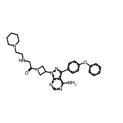 Nc1ncnc2c1c(-c1ccc(Oc3ccccc3)cc1)nn2C1CN(C(=O)CNCCN2CCCCC2)C1